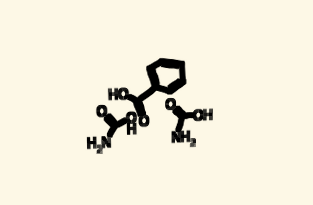 NC(=O)O.NC(=O)O.O=C(O)c1ccccc1